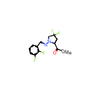 COC(=O)C1CC(F)(F)CN1N=Cc1cccc(F)c1F